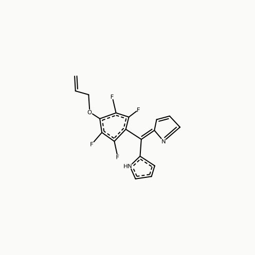 C=CCOc1c(F)c(F)c(/C(=C2\C=CC=N2)c2ccc[nH]2)c(F)c1F